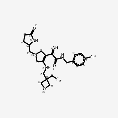 N=C(C(=O)NCc1ccc(Cl)cc1)C1=C(NCC2(CF)COC2)CN(CC2CCC(=O)N2)C1